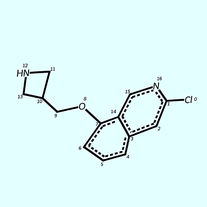 Clc1cc2cccc(OCC3CNC3)c2cn1